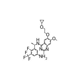 COc1cc2nc(C)nc(N[C@H](C)c3cc(N)cc(C(F)(F)F)c3F)c2cc1OCCOC1CC1